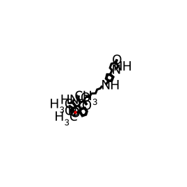 COc1ccccc1C1C(C(=O)OCCCCCCNc2ccc(C3=NNC(=O)CC3)cc2)=C(C)NC(C)=C1[N+](=O)[O-]